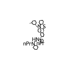 CCCc1ccccc1N(CCC)CCNC(=O)c1ccc(C=C2Sc3ccccc3N(Cc3cccc(C)c3)C2=O)cc1